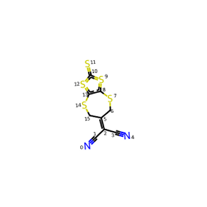 N#CC(C#N)=C1CSc2sc(=S)sc2SC1